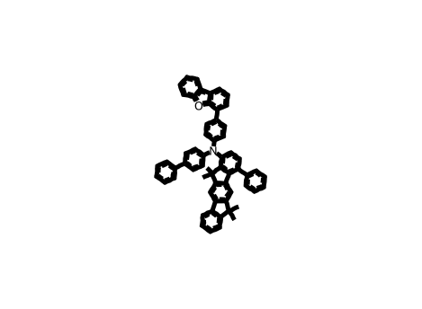 CC1(C)c2ccccc2-c2cc3c(cc21)-c1c(-c2ccccc2)ccc(N(c2ccc(-c4ccccc4)cc2)c2ccc(-c4cccc5c4oc4ccccc45)cc2)c1C3(C)C